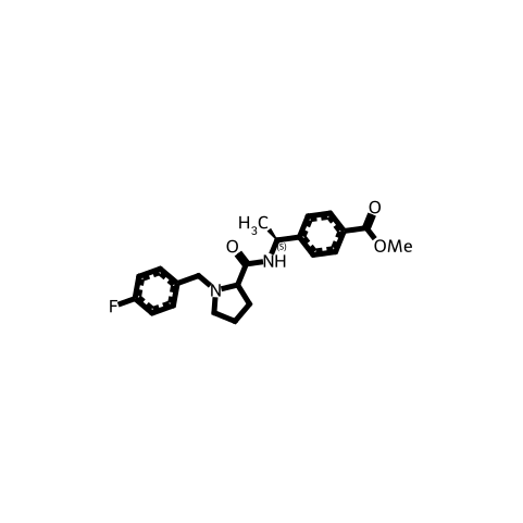 COC(=O)c1ccc([C@H](C)NC(=O)C2CCCN2Cc2ccc(F)cc2)cc1